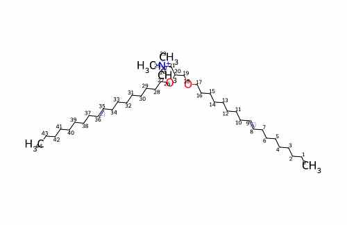 CCCCCCCC/C=C/CCCCCCCCOCC(C[N+](C)(C)C)OCCCCCCCC/C=C/CCCCCCCC